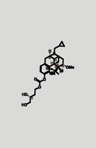 CO[C@@]12CC[C@@]3(C[C@@H]1[C@](C)(O)C(C)(C)C)[C@H]1Cc4ccc(OC(=O)OCC[C@@H](O)CO)c(O)c4[C@@]3(CCN1CC1CC1)[C@H]2C